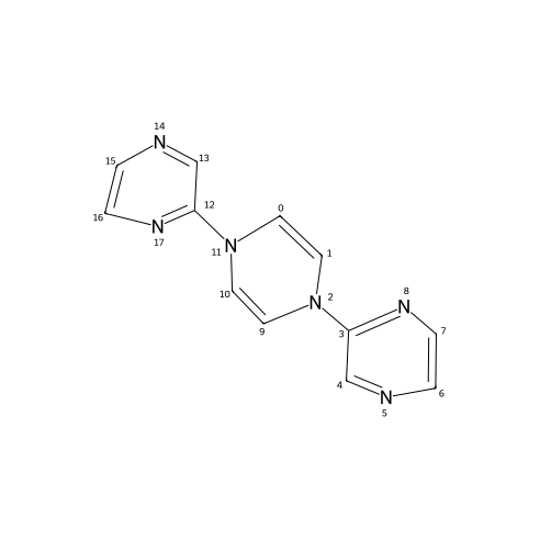 C1=CN(c2cnccn2)C=CN1c1cnccn1